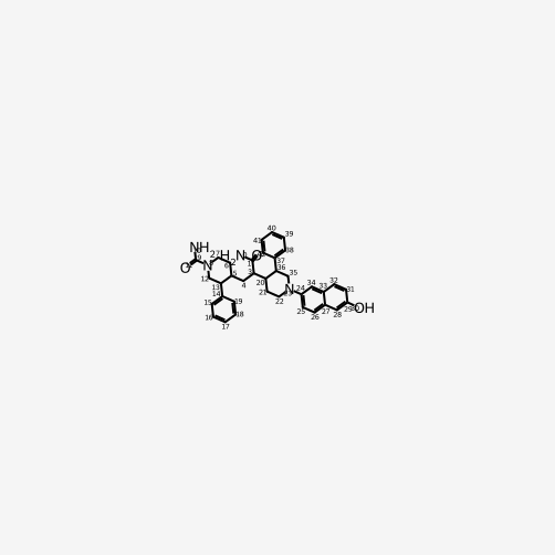 NC(=O)C(CC1CCN(C(N)=O)CC1c1ccccc1)C1CCN(c2ccc3cc(O)ccc3c2)CC1c1ccccc1